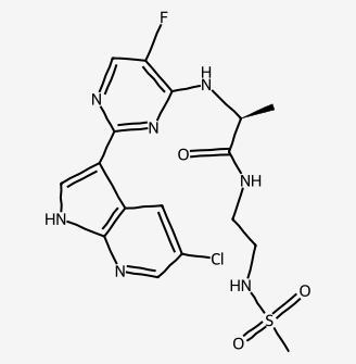 C[C@H](Nc1nc(-c2c[nH]c3ncc(Cl)cc23)ncc1F)C(=O)NCCNS(C)(=O)=O